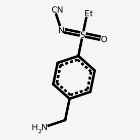 CCS(=O)(=NC#N)c1ccc(CN)cc1